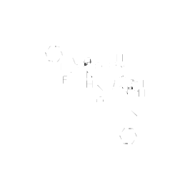 C=CC[N+]1(CCCc2ccccc2)CC[C@@]23C4=C5C[C@@H]1[C@@H]2CCC[C@@H]3OC4C(NC(=O)C(=Cc1ccccc1)C(F)(F)F)(OC(C)=O)C=C5O